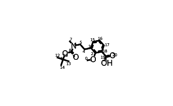 COc1c(CCN(C)C(=O)OC(C)(C)C)cccc1C(=O)O